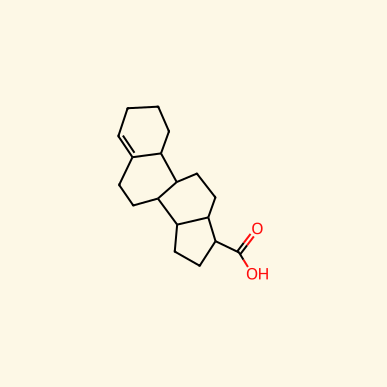 O=C(O)C1CCC2C1CCC1C3CCCC=C3CCC12